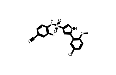 COc1ccc(Cl)cc1-c1cc(S(=O)(=O)Nc2ccc(C#N)cc2F)c[nH]1